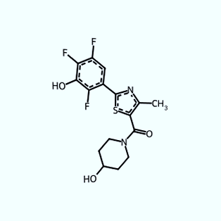 Cc1nc(-c2cc(F)c(F)c(O)c2F)sc1C(=O)N1CCC(O)CC1